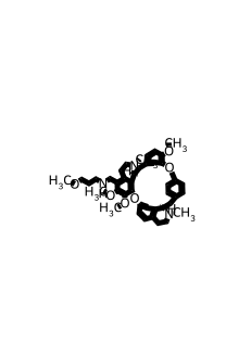 COCCCNCc1c2c3c(c(OC)c1OC)Oc1ccc4c(c1)[C@H](Cc1ccc(cc1)Oc1cc(ccc1OC)C[C@@H]3N(C)CC2)N(C)CC4